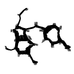 CCc1nc2c(C)cc(C)nc2n1Cc1cnc(Br)nc1